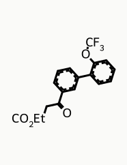 CCOC(=O)CC(=O)c1cccc(-c2ccccc2OC(F)(F)F)c1